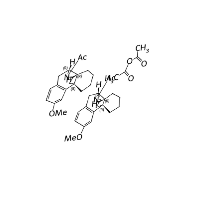 CC(=O)OC(C)=O.COc1ccc2c(c1)[C@@]13CCCC[C@H]1[C@@H](C2)N(C(C)=O)CC3.COc1ccc2c(c1)[C@@]13CCCC[C@H]1[C@@H](C2)N(C(C)=O)CC3